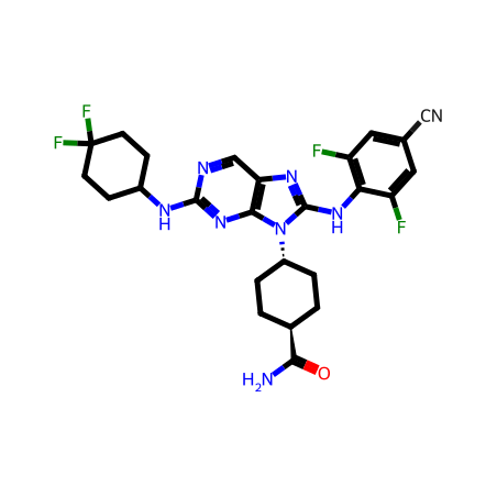 N#Cc1cc(F)c(Nc2nc3cnc(NC4CCC(F)(F)CC4)nc3n2[C@H]2CC[C@H](C(N)=O)CC2)c(F)c1